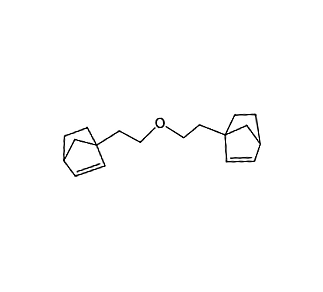 C1=CC2(CCOCCC34C=CC(CC3)C4)CCC1C2